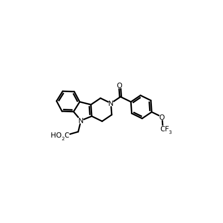 O=C(O)Cn1c2c(c3ccccc31)CN(C(=O)c1ccc(OC(F)(F)F)cc1)CC2